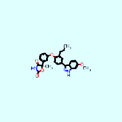 CCCc1cc(C2=NNC3C=C(OC)C=CC23)ccc1Oc1cccc([C@@]2(C)OC(=O)NC2=O)c1